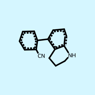 N#Cc1ccccc1-c1cccc2c1CCCN2